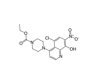 CCOC(=O)N1CCN(c2ccnc3c(O)c([N+](=O)[O-])cc(Cl)c23)CC1